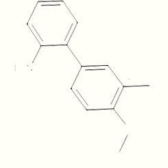 CSc1ccc(-c2ccccc2N)cc1C